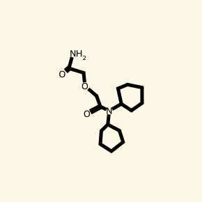 NC(=O)COCC(=O)N(C1CCCCC1)C1CCCCC1